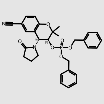 CC1(C)Oc2ccc(C#N)cc2[C@@H](N2CCCC2=O)[C@@H]1OP(=O)(OCc1ccccc1)OCc1ccccc1